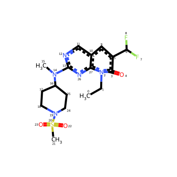 CCn1c(=O)c(C(F)F)cc2cnc(N(C)C3CCN(S(C)(=O)=O)CC3)nc21